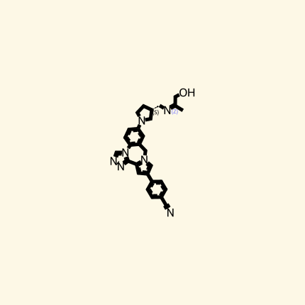 C/C(CO)=N/C[C@H]1CCN(c2ccc3c(c2)Cn2cc(-c4ccc(C#N)cc4)cc2-c2nncn2-3)C1